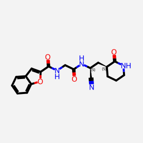 N#C[C@H](C[C@@H]1CCCNC1=O)NC(=O)CNC(=O)c1cc2ccccc2o1